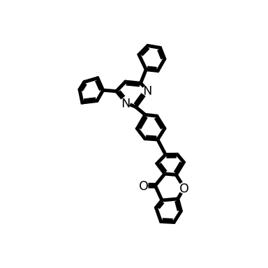 O=c1c2ccccc2oc2ccc(-c3ccc(-c4nc(-c5ccccc5)cc(-c5ccccc5)n4)cc3)cc12